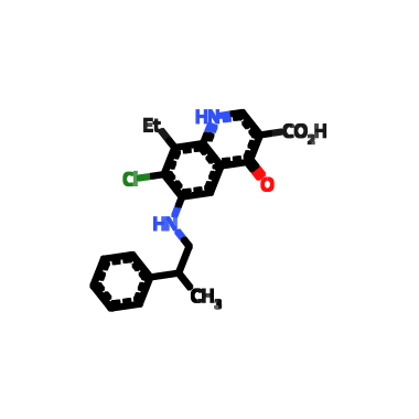 CCc1c(Cl)c(NCC(C)c2ccccc2)cc2c(=O)c(C(=O)O)c[nH]c12